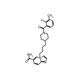 Cc1cccc(C(=O)N2CCC(CCCC[N+]34C=CN=C3C=CC(C(N)=O)=C4)CC2)c1F